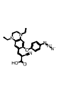 CCN1CCN(CC)c2cc(Oc3ccc(N=[N+]=[N-])cc3)c(/C=C(\C#N)C(=O)O)cc21